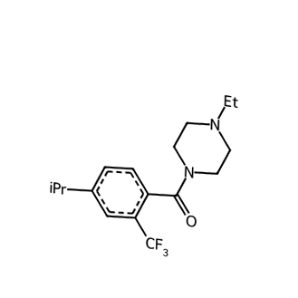 CCN1CCN(C(=O)c2ccc(C(C)C)cc2C(F)(F)F)CC1